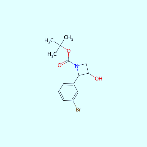 CC(C)(C)OC(=O)N1CC(O)C1c1cccc(Br)c1